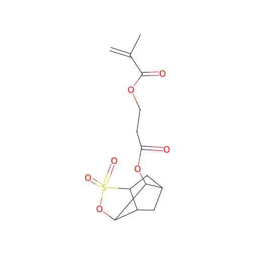 C=C(C)C(=O)OCCC(=O)OC1C2CC3C1OS(=O)(=O)C3C2